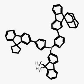 CC1(C)c2ccccc2-c2ccc(N(c3ccc(-c4ccc5c(c4)C4(CCCC4)c4ccccc4-5)cc3)c3cccc(-c4ccc5c(c4)C4(c6ccccc6-5)C5CC6CC(C5)CC4C6)c3)cc21